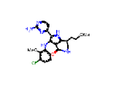 COCCC1CNC(=O)c2c1[nH]c(-c1ccnc(N)n1)c2Nc1cccc(Cl)c1OC